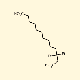 CCC(CC)(CCCCCCCCCC(=O)O)CC(=O)O